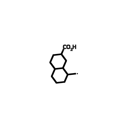 [CH2]C1CCCC2CCC(C(=O)O)CC12